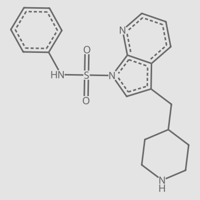 O=S(=O)(Nc1ccccc1)n1cc(CC2CCNCC2)c2cccnc21